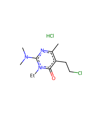 CCn1c(N(C)C)nc(C)c(CCCl)c1=O.Cl